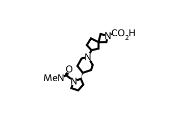 CNC(=O)N1CCC[C@H]1C1CCN(C2CCC3(C2)CN(C(=O)O)C3)CC1